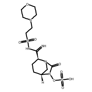 N=C(NS(=O)(=O)CCN1CCOCC1)[C@@H]1CC[C@@H]2CN1C(=O)N2OS(=O)(=O)O